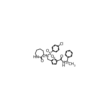 C[C@@H](NC(=O)c1ccc(CN([C@@H]2CCCCNC2=O)S(=O)(=O)c2ccc(Cl)cc2)s1)c1ccccc1